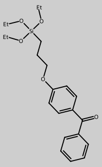 CCO[Si](CCCOc1ccc(C(=O)c2ccccc2)cc1)(OCC)OCC